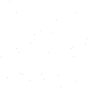 O=C(CCl)C1CC1c1cn2cccc(Cl)c2n1